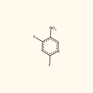 O=[N+]([O-])c1cnc(F)cc1F